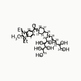 CCn1c(C)[n+](CC)c2ccc(C(=O)N3CCC(CN(CCCCC(O)CO)CC(O)C(O)C(O)C(O)CO)CC3)cc21